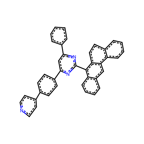 c1ccc(-c2cc(-c3ccc(-c4ccncc4)cc3)nc(-c3c4ccccc4cc4c3ccc3ccccc34)n2)cc1